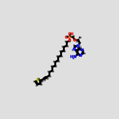 C[C@H](Cn1cnc2c(N)ncnc21)OCP(=O)(O)OCCCCCCCCCCCCCCC#Cc1cccs1